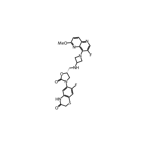 COc1ccc2ncc(F)c(N3CC(NC[C@@H]4CN(c5cc6c(cc5F)SCC(=O)N6)C(=O)O4)C3)c2n1